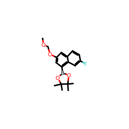 COCOc1cc(B2OC(C)(C)C(C)(C)O2)c2[c]c(F)ccc2c1